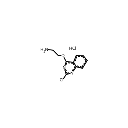 Cl.NCCOc1nc(Cl)nc2ccccc12